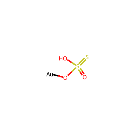 O=S(O)(=S)[O][Au]